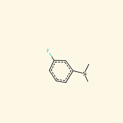 C[Si](C)c1cccc(F)c1